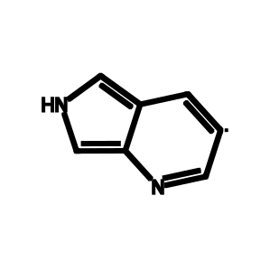 [c]1cnc2c[nH]cc2c1